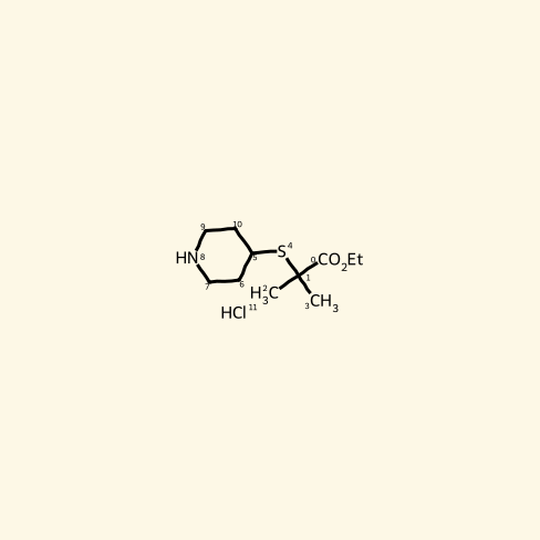 CCOC(=O)C(C)(C)SC1CCNCC1.Cl